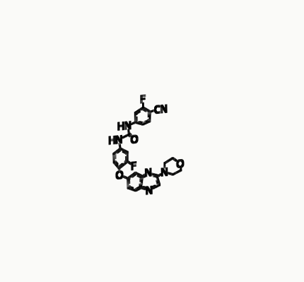 N#Cc1ccc(NC(=O)Nc2ccc(Oc3ccc4ncc(N5CCOCC5)nc4c3)c(F)c2)cc1F